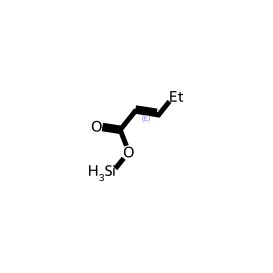 CC/C=C/C(=O)O[SiH3]